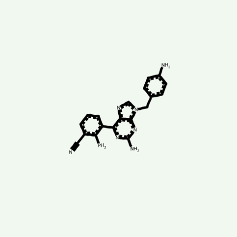 N#Cc1cccc(-c2nc(N)nc3c2ncn3Cc2ccc(N)cc2)c1P